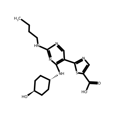 CCCCNc1ncc(-c2ncc(C(=O)O)s2)c(N[C@H]2CC[C@H](O)CC2)n1